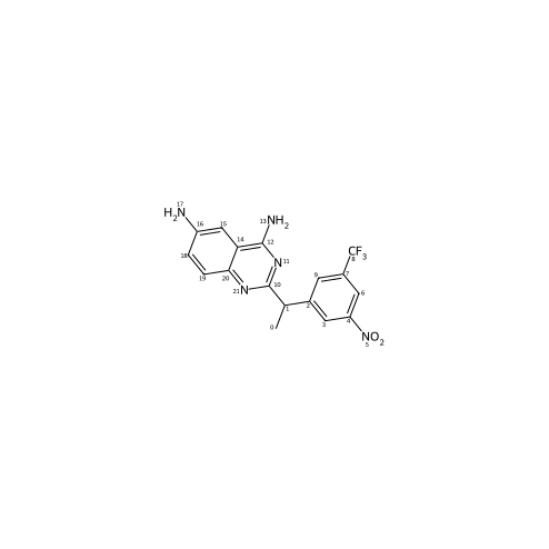 CC(c1cc([N+](=O)[O-])cc(C(F)(F)F)c1)c1nc(N)c2cc(N)ccc2n1